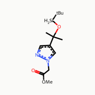 COC(=O)Cn1cc(C(C)(C)O[SiH2]C(C)(C)C)cn1